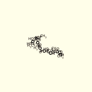 CCNC(=O)c1nnc(-c2cc(C(C)C)c(O)cc2O)n1-c1ccc(S(=O)(=O)N2CCC(C(=O)N3CCC(N(Cc4ccc5nc6c(c(CC)c5c4)Cn4c-6cc5c(c4=O)COC(=O)C5(O)CC)C(=O)O)CC3)CC2)cc1